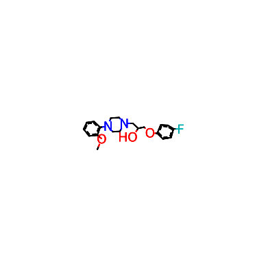 COc1ccccc1N1CCN(CC(O)COc2ccc(F)cc2)CC1